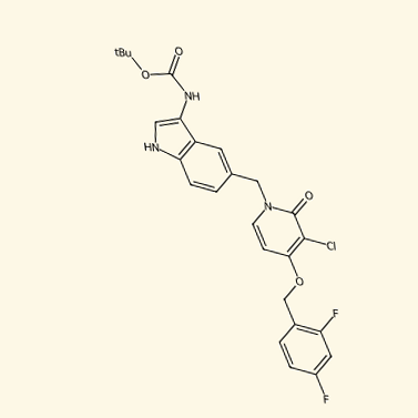 CC(C)(C)OC(=O)Nc1c[nH]c2ccc(Cn3ccc(OCc4ccc(F)cc4F)c(Cl)c3=O)cc12